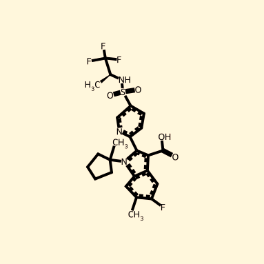 Cc1cc2c(cc1F)c(C(=O)O)c(-c1ccc(S(=O)(=O)N[C@@H](C)C(F)(F)F)cn1)n2C1(C)CCCC1